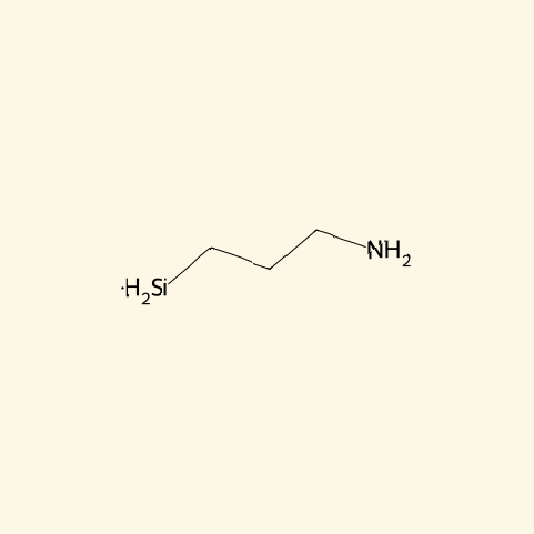 NCCC[SiH2]